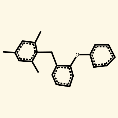 Cc1cc(C)c(Cc2ccccc2Oc2ccccc2)c(C)c1